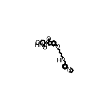 O=C1CCC(N2Cc3cc(OCCCCCCNCc4cccc(N5CCCC5)c4)ccc3C2=O)C(=O)N1